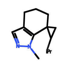 CC(C)C1CC12CCCc1cnn(C)c12